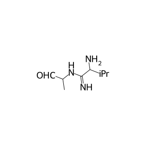 CC(C=O)NC(=N)C(N)C(C)C